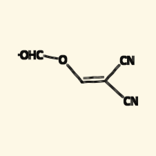 N#CC(C#N)=CO[C]=O